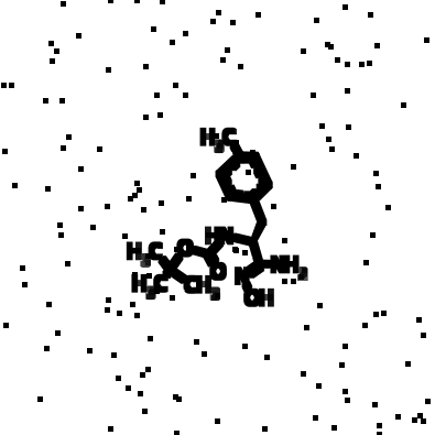 Cc1ccc(C[C@H](NC(=O)OC(C)(C)C)/C(N)=N/O)cc1